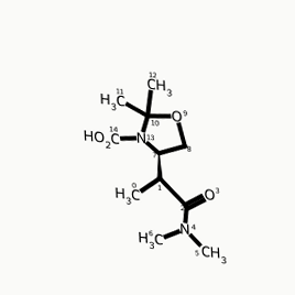 CC(C(=O)N(C)C)[C@@H]1COC(C)(C)N1C(=O)O